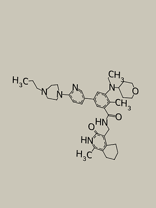 CCCN1CCN(c2ccc(-c3cc(C(=O)NCc4c5c(c(C)[nH]c4=O)CCCC5)c(C)c(N(CC)C4CCOCC4)c3)cn2)CC1